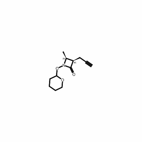 C#CC[C@H]1C(=O)N(OC2CCCCO2)[C@H]1C